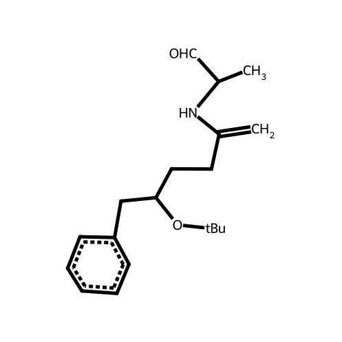 C=C(CCC(Cc1ccccc1)OC(C)(C)C)NC(C)C=O